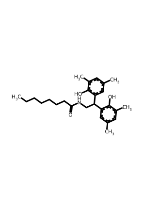 CCCCCCCC(=O)NCC(c1cc(C)cc(C)c1O)c1cc(C)cc(C)c1O